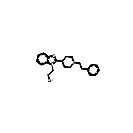 OCCn1c(C2CCN(CCc3cc[c]cc3)CC2)nc2ccccc21